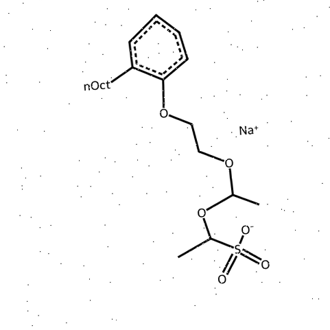 CCCCCCCCc1ccccc1OCCOC(C)OC(C)S(=O)(=O)[O-].[Na+]